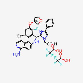 CCc1cc(O[C@H]2CCOC2)c(F)c(C(Nc2ccc3c(N)nccc3c2)c2nc(-c3ccccc3)cn2CC(=O)O)c1.O=C(O)C(F)(F)F.O=C(O)C(F)(F)F